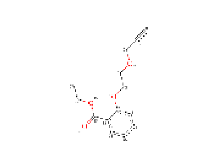 C#CCOCCOc1ccccc1C(=O)OCC